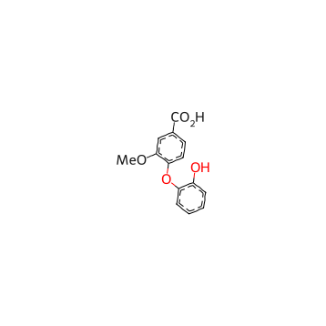 COc1cc(C(=O)O)ccc1Oc1ccccc1O